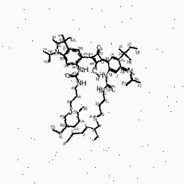 CCCCC(CC)CSCCCNC(=O)NC1=CC(=N\C(C)C)/C(C(C)(C)CC)=CC/1=C1\C(=O)C(c2cc3c(cc2NC(=O)NCCCSCC(CC)CCCC)N(C(C)C)C(C)C3(C)C)=C1OC